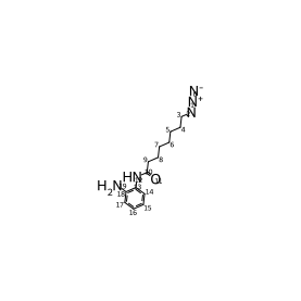 [N-]=[N+]=NCCCCCCCC(=O)Nc1ccccc1N